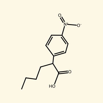 CCCCC(C(=O)O)c1ccc([N+](=O)[O-])cc1